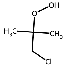 CC(C)(CCl)OO